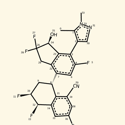 Cc1c(-c2c(F)cc([C@H]3C[C@H](F)[C@H](F)c4cc(F)cc(C#N)c43)c3c2[C@H](O)C(F)(F)C3)cnn1C